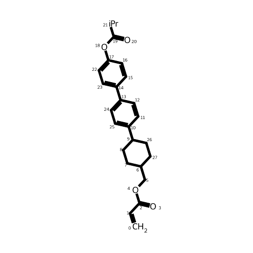 C=CC(=O)OCC1CCC(c2ccc(-c3ccc(OC(=O)C(C)C)cc3)cc2)CC1